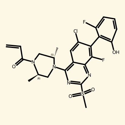 C=CC(=O)N1C[C@H](C)N(c2nc(S(C)(=O)=O)nc3c(F)c(-c4c(O)cccc4F)c(Cl)cc23)C[C@H]1C